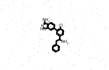 Nc1n[nH]c2cc(-c3cc(C(N)Cc4ccccc4)ccc3Cl)ccc12